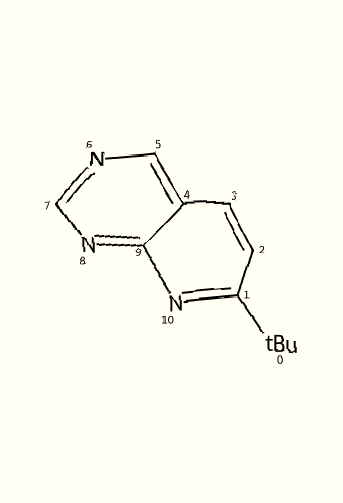 CC(C)(C)c1ccc2cncnc2n1